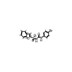 O=C(Nc1ccc(Br)cc1)NS(=O)(=O)c1cc2ccccc2o1